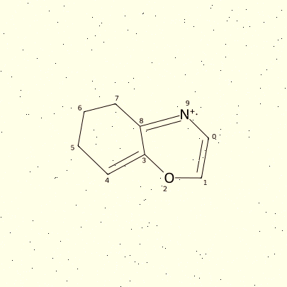 C1=COC2=CCCCC2=[N+]1